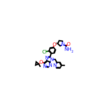 Cc1ccnc(Cn2c(-c3ccc(O[C@@H]4CCN(C(N)=O)C4)cc3Cl)nc3c(OC4(C)CC4)ncnc32)c1